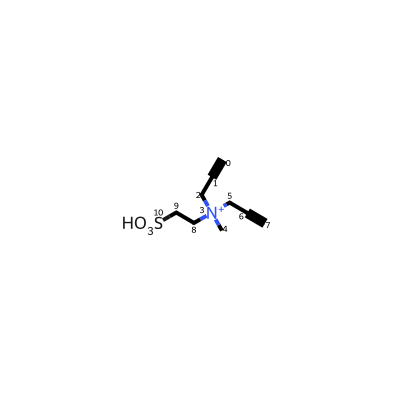 C#CC[N+](C)(CC#C)CCS(=O)(=O)O